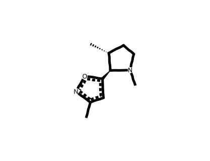 Cc1cc([C@H]2[C@H](C)CCN2C)on1